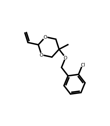 C=CC1OCC(C)(OCc2ccccc2Cl)CO1